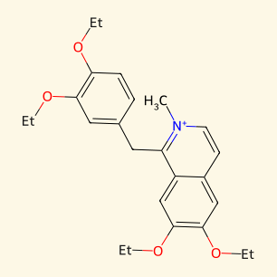 CCOc1ccc(Cc2c3cc(OCC)c(OCC)cc3cc[n+]2C)cc1OCC